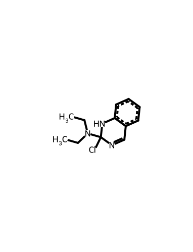 CCN(CC)C1(Cl)N=Cc2ccccc2N1